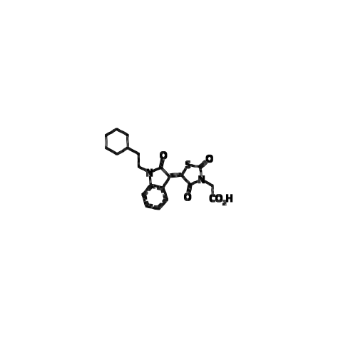 O=C(O)CN1C(=O)S/C(=C2\C(=O)N(CCC3CCCCC3)c3ccccc32)C1=O